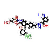 Cl.Cl.Nc1cccc([C@@H](O)CNCCc2ccc(-c3ccc(C(=O)NS(=O)(=O)CCCO)c(OC4CCCCC4)c3)cc2)c1